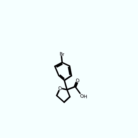 O=C(O)C1(c2ccc(Br)cc2)CCCO1